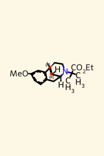 CCOC(=O)C(C)(C)N1CC[C@]23CCCC[C@H]2[C@H]1Cc1ccc(OC)cc13